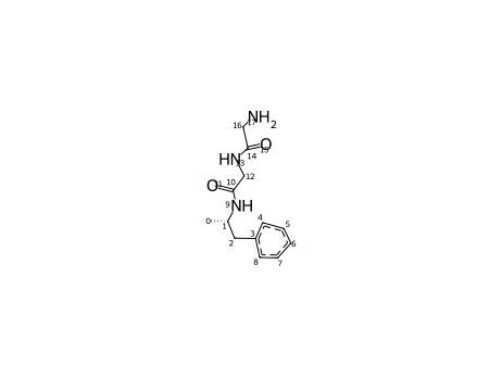 C[C@@H](Cc1ccccc1)NC(=O)CNC(=O)CN